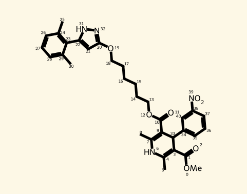 COC(=O)C1=C(C)NC(C)=C(C(=O)OCCCCCCOc2cc(-c3c(C)cccc3C)[nH]n2)C1c1cccc([N+](=O)[O-])c1